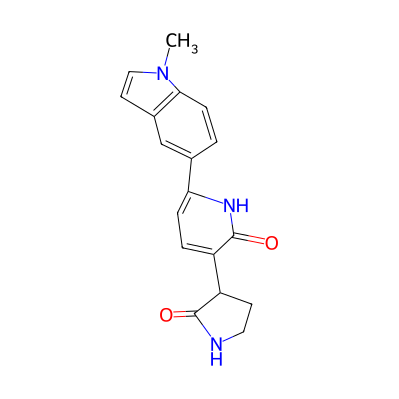 Cn1ccc2cc(-c3ccc(C4CCNC4=O)c(=O)[nH]3)ccc21